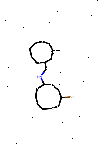 CC1CCCCCCC(CNC2CCCCCCC(S)CC2)C1